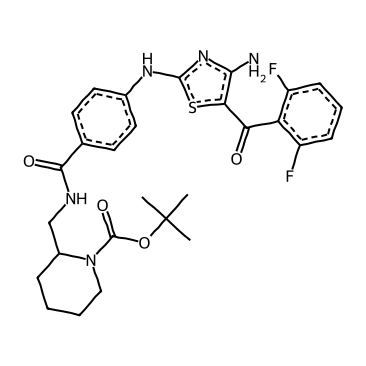 CC(C)(C)OC(=O)N1CCCCC1CNC(=O)c1ccc(Nc2nc(N)c(C(=O)c3c(F)cccc3F)s2)cc1